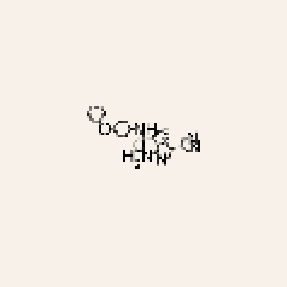 Cn1cc(-c2cnc(N)c3c(C(=O)Nc4ccc(Oc5ccccc5)cc4)csc23)cn1